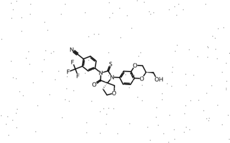 N#Cc1ccc(N2C(=O)[C@@]3(CCOC3)N(c3ccc4c(c3)OC[C@@H](CO)O4)C2=S)cc1C(F)(F)F